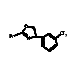 CC(C)C1=NC(c2cccc(C(F)(F)F)c2)CO1